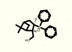 CC1(C)C2CC1[C@H](CO)[C@H](P(=O)(c1ccccc1)c1ccccc1)C2